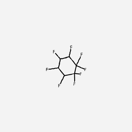 FC1C(F)C(F)C(F)(F)C(F)(F)C1F